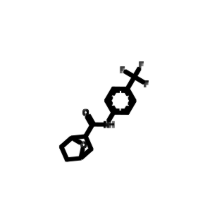 O=C(Nc1ccc(C(F)(F)F)cc1)C1CC2CCC1O2